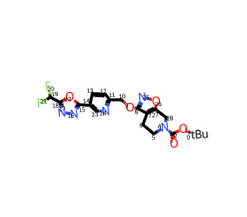 CC(C)(C)OC(=O)N1CCc2c(OCc3ccc(-c4nnc(C(F)F)o4)cn3)noc2C1